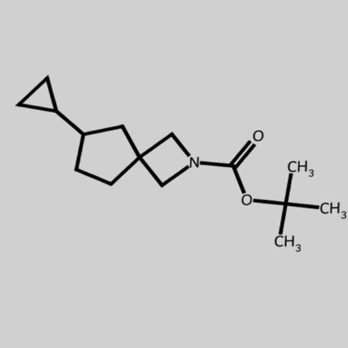 CC(C)(C)OC(=O)N1CC2(CCC(C3CC3)C2)C1